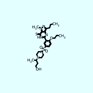 CCCOc1ccc(S(=O)(=O)N2CCN(C(C)CCO)CC2)cc1-c1nc2c(CCC)nn(C)c2c(=S)[nH]1